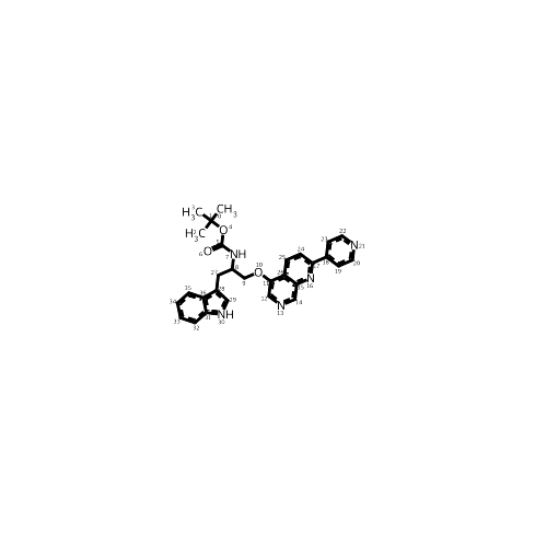 CC(C)(C)OC(=O)NC(COc1cncc2nc(-c3ccncc3)ccc12)Cc1c[nH]c2ccccc12